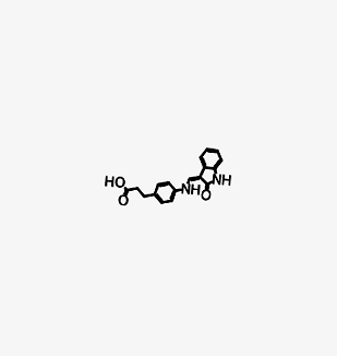 O=C(O)CCc1ccc(NC=C2C(=O)Nc3ccccc32)cc1